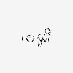 Ic1ccc(C2=CC(c3cccs3)NN2)cc1